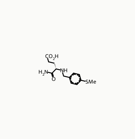 CSc1ccc(CN[C@@H](CCC(=O)O)C(N)=O)cc1